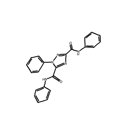 O=C(Nc1ccccc1)c1nc(C(=O)Nc2ccccc2)n(-c2ccccc2)n1